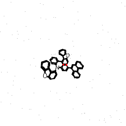 c1ccc(N(c2ccc(-c3cc4ccccc4c4ccccc34)cc2)c2cccc3oc4ccccc4c23)c(-c2cccc3oc4ccccc4c23)c1